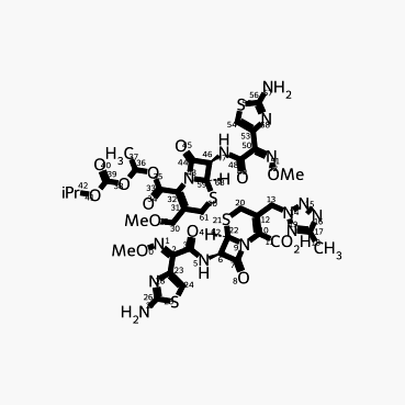 CO/N=C(/C(=O)N[C@@H]1C(=O)N2C(C(=O)O)=C(Cn3nnc(C)n3)CS[C@H]12)c1csc(N)n1.COCC1=C(C(=O)OC(C)OC(=O)OC(C)C)N2C(=O)[C@@H](NC(=O)/C(=N\OC)c3csc(N)n3)[C@H]2SC1